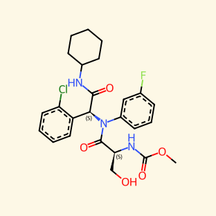 COC(=O)N[C@@H](CO)C(=O)N(c1cccc(F)c1)[C@H](C(=O)NC1CCCCC1)c1ccccc1Cl